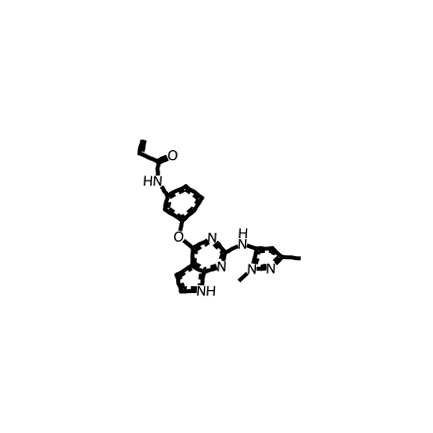 C=CC(=O)Nc1cccc(Oc2nc(Nc3cc(C)nn3C)nc3[nH]ccc23)c1